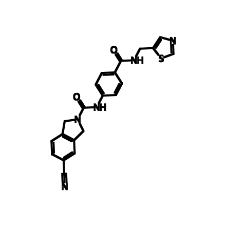 N#Cc1ccc2c(c1)CN(C(=O)Nc1ccc(C(=O)NCc3cncs3)cc1)C2